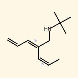 C=C/C=C(\C=C/C)CNC(C)(C)C